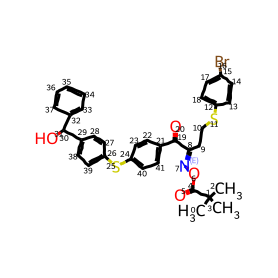 CC(C)(C)C(=O)O/N=C(\CCSc1ccc(Br)cc1)C(=O)c1ccc(Sc2ccc(C(O)c3ccccc3)cc2)cc1